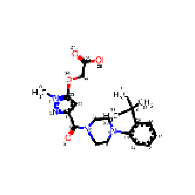 Cn1nc(C(=O)N2CCN(c3ccccc3C(C)(C)C)CC2)cc1OCC(=O)O